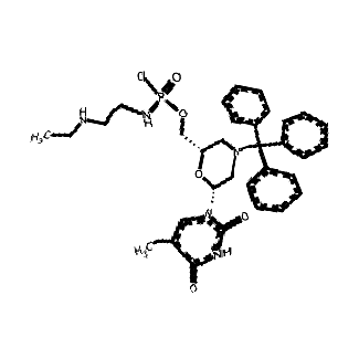 CCNCCNP(=O)(Cl)OC[C@@H]1CN(C(c2ccccc2)(c2ccccc2)c2ccccc2)C[C@H](n2cc(C)c(=O)[nH]c2=O)O1